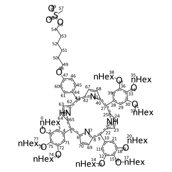 CCCCCCOc1cc(-c2c3nc(c(-c4cc(OCCCCCC)c(OCCCCCC)c(OCCCCCC)c4)c4ccc([nH]4)c(-c4cc(OCCCCCC)c(OCCCCCC)c(OCCCCCC)c4)c4nc(c(-c5ccc(OCCCCCCOS(C)(=O)=O)cc5)c5ccc2[nH]5)C=C4)C=C3)cc(OCCCCCC)c1OCCCCCC